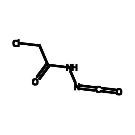 O=C=NNC(=O)CCl